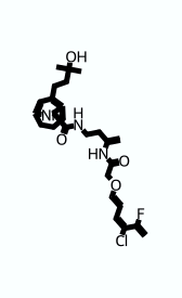 C=C(CCNC(=O)C1NC2=CC(CCC(C)(C)O)=C1CCC2)NC(=O)CO/C=C/C=C(/Cl)C(=C)F